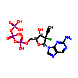 C#CC1(F)[C@@H](O)[C@@H](COP(=O)(O)OP(=O)(O)OP(=O)(O)O)O[C@H]1n1cnc2cnc(N)nc21